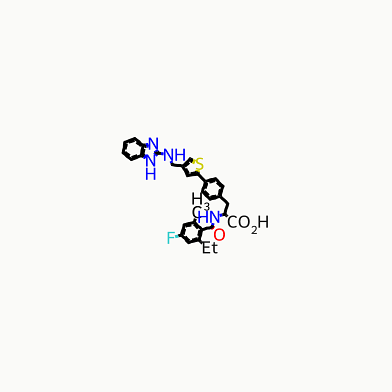 CCc1cc(F)cc(C)c1C(=O)NC(Cc1ccc(-c2cc(CNc3nc4ccccc4[nH]3)cs2)cc1)C(=O)O